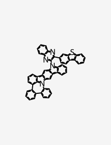 c1ccc2c(c1)-c1ccccc1-n1c3cc4c5ccccc5n(-c5nc6ccccc6nc5-c5ccc6c(c5)sc5ccccc56)c4cc3c3cccc-2c31